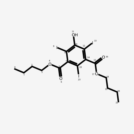 CCCCOC(=O)c1c(I)c(O)c(I)c(C(=O)OCCCC)c1I